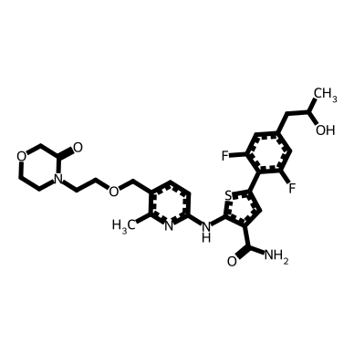 Cc1nc(Nc2sc(-c3c(F)cc(CC(C)O)cc3F)cc2C(N)=O)ccc1COCCN1CCOCC1=O